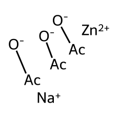 CC(=O)[O-].CC(=O)[O-].CC(=O)[O-].[Na+].[Zn+2]